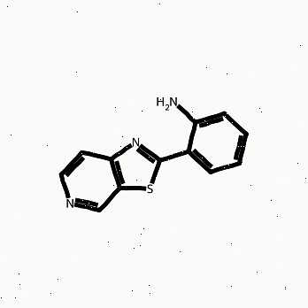 Nc1ccccc1-c1nc2ccncc2s1